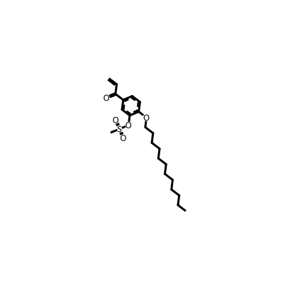 C=CC(=O)c1ccc(OCCCCCCCCCCCC)c(OS(C)(=O)=O)c1